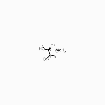 CC(Br)C(=O)O.[MgH2]